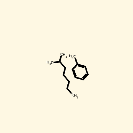 CCCCCC(C)C.Cc1ccccc1